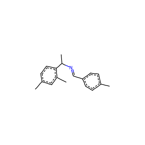 Cc1ccc(C=NC(C)c2ccc(C)cc2C)cc1